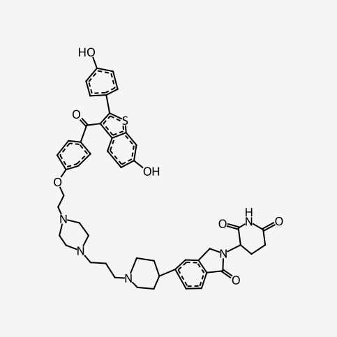 O=C1CCC(N2Cc3cc(C4CCN(CCCN5CCN(CCOc6ccc(C(=O)c7c(-c8ccc(O)cc8)sc8cc(O)ccc78)cc6)CC5)CC4)ccc3C2=O)C(=O)N1